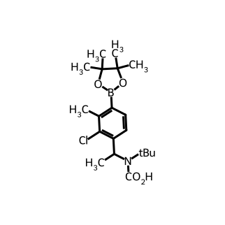 Cc1c(B2OC(C)(C)C(C)(C)O2)ccc(C(C)N(C(=O)O)C(C)(C)C)c1Cl